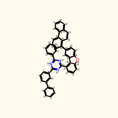 c1ccc(-c2cccc(-c3nc(-c4ccccc4)nc(-c4cccc5oc6ccc(-c7cccc8c7ccc7ccccc78)cc6c45)n3)c2)cc1